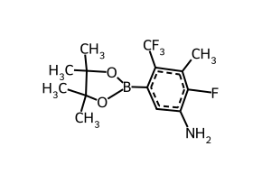 Cc1c(F)c(N)cc(B2OC(C)(C)C(C)(C)O2)c1C(F)(F)F